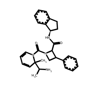 CC(N)C1(C)C=CC=CN1C(=O)N1CC(c2ccccc2)C1C(=O)N[C@@H]1CCc2ccccc21